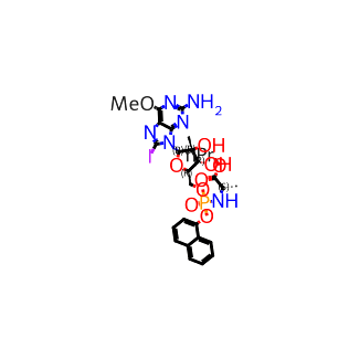 CCCOC(=O)[C@H](C)NP(=O)(OC[C@H]1O[C@@H](n2c(I)nc3c(OC)nc(N)nc32)[C@](C)(O)[C@@H]1O)Oc1cccc2ccccc12